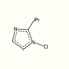 CC(C)c1nc[c]n1Cl